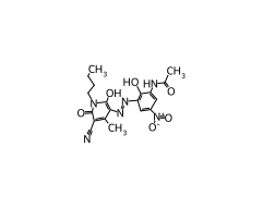 CCCCn1c(O)c(/N=N/c2cc([N+](=O)[O-])cc(NC(C)=O)c2O)c(C)c(C#N)c1=O